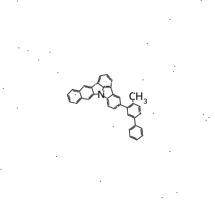 Cc1ccc(-c2ccccc2)cc1-c1ccc2c(c1)c1cccc3c4cc5ccccc5cc4n2c13